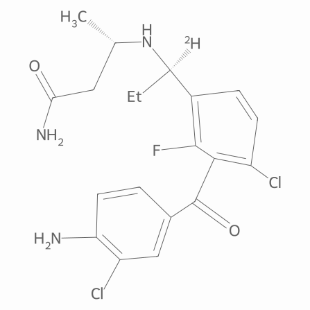 [2H][C@](CC)(N[C@@H](C)CC(N)=O)c1ccc(Cl)c(C(=O)c2ccc(N)c(Cl)c2)c1F